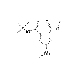 CNC1CC(C(=O)OC)N(C(=O)OC(C)(C)C)C1